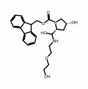 O=C(OCC1c2ccccc2-c2ccccc21)N1C[C@H](O)C[C@H]1C(O)NCCOCCO